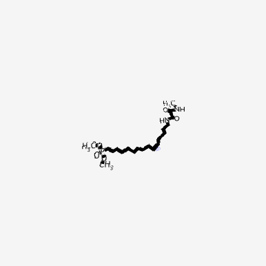 CNC(=O)C(=O)NCCCC/C=C\CCCCCCCCCP(=O)(OC)OC